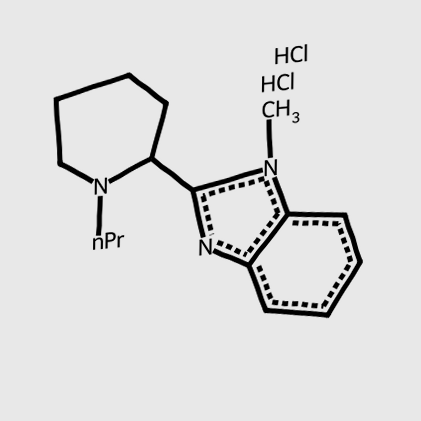 CCCN1CCCCC1c1nc2ccccc2n1C.Cl.Cl